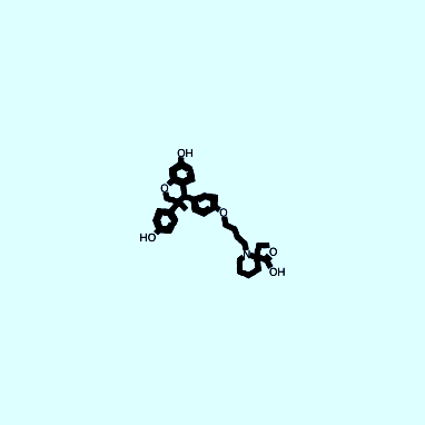 CCC1(C(=O)O)CCCCN1CCCCOc1ccc(C2c3ccc(O)cc3OCC2(C)c2ccc(O)cc2)cc1